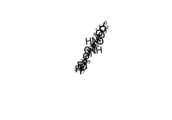 Cc1ccc2c(c1)CC[C@H](C(=O)NC13CC(NC(=O)COC4CC(OC(F)(F)F)C4)(C1)C3)O2